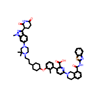 Cc1c(OC2CCC(CCCN3CCN(c4ccc5c(C6CCC(=O)NC6=O)nn(C)c5c4)CC3(C)C)CC2)cccc1-c1ccc(N2CCc3cccc(C(=O)Nc4nc5ccccc5s4)c3C2)nc1C(=O)O